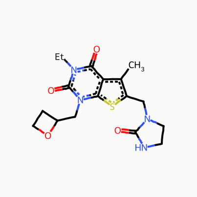 CCn1c(=O)c2c(C)c(CN3CCNC3=O)sc2n(CC2CCO2)c1=O